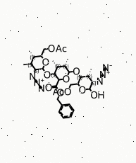 CC(=O)OCC1OC(O[C@@H]2C(C(=O)OCc3ccccc3)OC(O[C@@H]3C(COC(C)=O)OC(O)[C@@H](N=[N+]=[N-])[C@H]3C)[C@@H](C)[C@H]2C)[C@@H](N=[N+]=[N-])[C@@H](C)[C@@H]1C